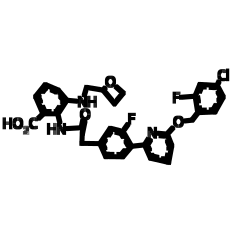 O=C(Cc1ccc(-c2cccc(OCc3ccc(Cl)cc3F)n2)c(F)c1)Nc1c(NCC2CCO2)cccc1C(=O)O